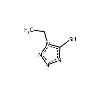 FC(F)(F)Cn1nnnc1S